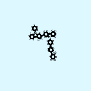 c1ccc(-n2c3ccccc3c3ccc(-c4ccc5c6ccccc6n(-c6ccc(-c7ccc8c(c7)oc7ccccc78)cc6)c5c4)cc32)cc1